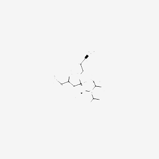 CC(C)N(C(C)C)[PH](=O)[C@](O)(CC(O)CN)OCCC#N